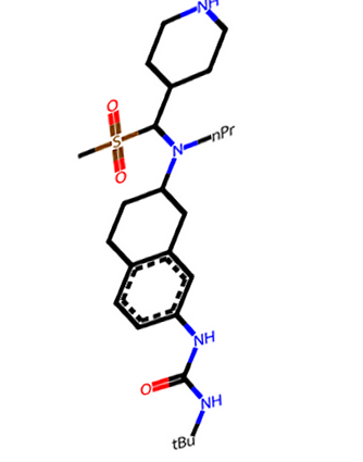 CCCN(C1CCc2ccc(NC(=O)NC(C)(C)C)cc2C1)C(C1CCNCC1)S(C)(=O)=O